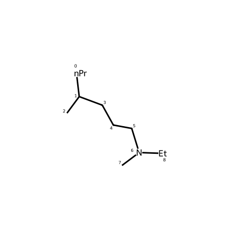 CCCC(C)CCCN(C)CC